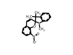 CN1c2ccccc2C(C)(C)C12C=Cc1cccc([N+](=O)[O-])c1O2